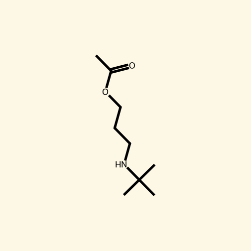 CC(=O)OCCCNC(C)(C)C